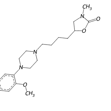 COc1ccccc1N1CCN(CCCCC2CN(C)C(=O)O2)CC1